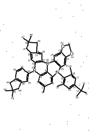 Cc1cc2c3c(c1)N(c1c(C)cc(C(C)(C)C)cc1C)c1cc4c(cc1B3c1cc3c(cc1N2c1ccc2c(c1)CC(C)(C)C2)CC(C)(C)C3)OCO4